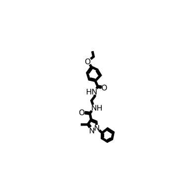 CCOc1ccc(C(=O)NCCNC(=O)c2cn(-c3ccccc3)nc2C)cc1